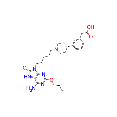 CCCCOc1nc(N)c2[nH]c(=O)n(CCCCCN3CCC(c4cccc(CC(=O)O)c4)CC3)c2n1